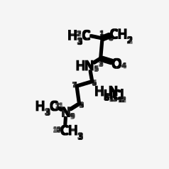 C=C(C)C(=O)NCCCN(C)C.Cl.N